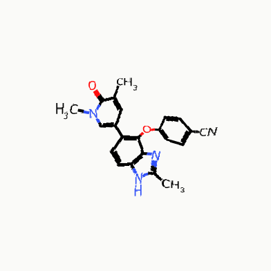 Cc1nc2c(Oc3ccc(C#N)cc3)c(-c3cc(C)c(=O)n(C)c3)ccc2[nH]1